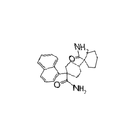 NC(=O)C1(c2cccc3ccccc23)CCC(C2(C(N)=O)CCCCC2)CC1